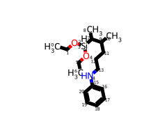 CCO[SiH](OCC)C(C)C(C)CCCNc1ccccc1